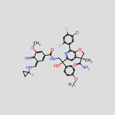 COC1=CC(C(=O)NC[C@@](O)(c2ccc(OC)cc2)c2cc3c(c(-c4cc(Cl)c(F)cc4F)n2)OC[C@]3(C)C(N)=O)=C/C(=C/NC2(F)CC2)C1=N